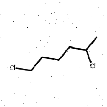 C[C](Cl)CCCCCl